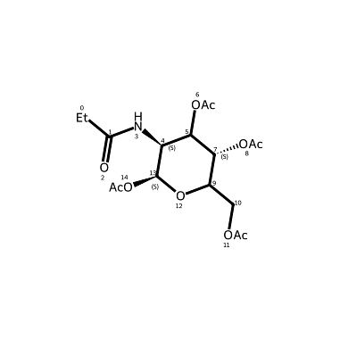 CCC(=O)N[C@H]1C(OC(C)=O)[C@H](OC(C)=O)C(COC(C)=O)O[C@H]1OC(C)=O